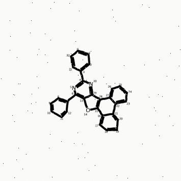 c1ccc(-c2nc(-c3ccccc3)c3oc4c5ccccc5c5ccccc5c4c3n2)cc1